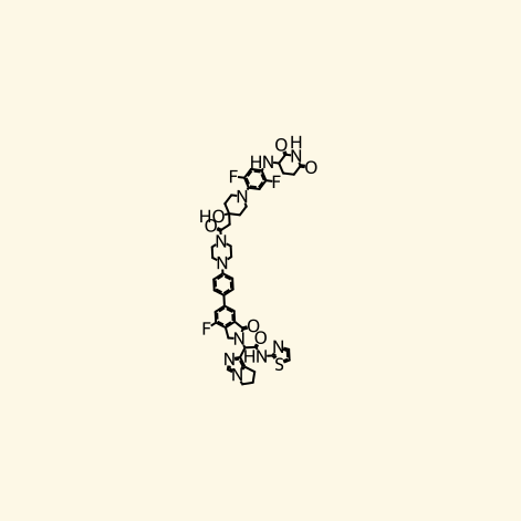 O=C1CCC(Nc2cc(F)c(N3CCC(O)(CC(=O)N4CCN(c5ccc(-c6cc(F)c7c(c6)C(=O)N(C(C(=O)Nc6nccs6)c6ncn8c6CCC8)C7)cc5)CC4)CC3)cc2F)C(=O)N1